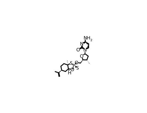 C=C(C)[C@H]1CC[C@@]2(C)SP(=S)(OC[C@H]3O[C@@H](n4ccc(N)nc4=O)C[C@@H]3C)O[C@@H]2C1